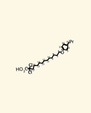 CC(C)c1ccc(OCCCCCCCCCCCCC(Cl)(Cl)C(=O)O)cc1